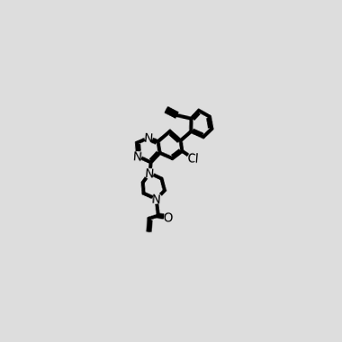 C#Cc1ccccc1-c1cc2ncnc(N3CCN(C(=O)C=C)CC3)c2cc1Cl